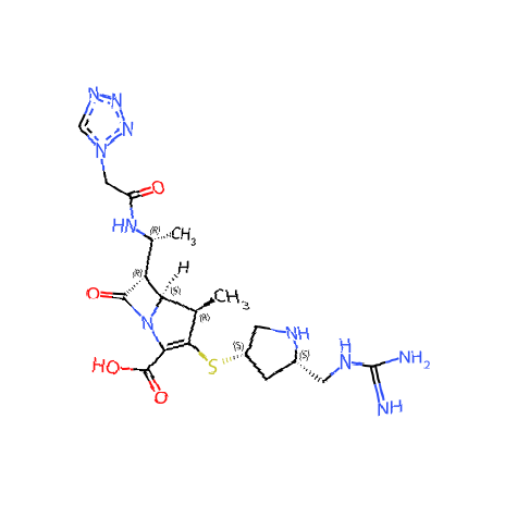 C[C@@H](NC(=O)Cn1cnnn1)[C@H]1C(=O)N2C(C(=O)O)=C(S[C@@H]3CN[C@H](CNC(=N)N)C3)[C@H](C)[C@H]12